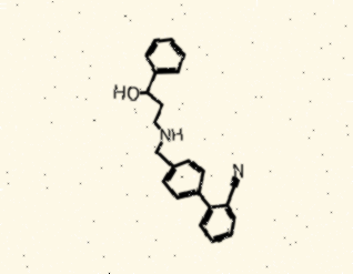 N#Cc1ccccc1-c1ccc(CNCCC(O)c2ccccc2)cc1